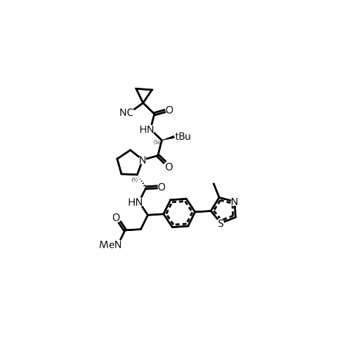 CNC(=O)CC(NC(=O)[C@@H]1CCCN1C(=O)[C@@H](NC(=O)C1(C#N)CC1)C(C)(C)C)c1ccc(-c2scnc2C)cc1